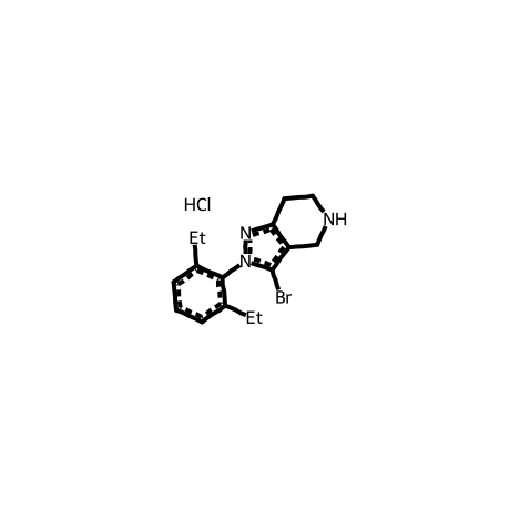 CCc1cccc(CC)c1-n1nc2c(c1Br)CNCC2.Cl